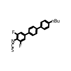 CCCCc1ccc(-c2ccc(-c3cc(F)c(N=C=S)c(F)c3)cc2)cc1